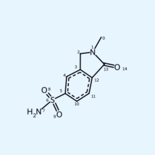 CN1Cc2cc(S(N)(=O)=O)ccc2C1=O